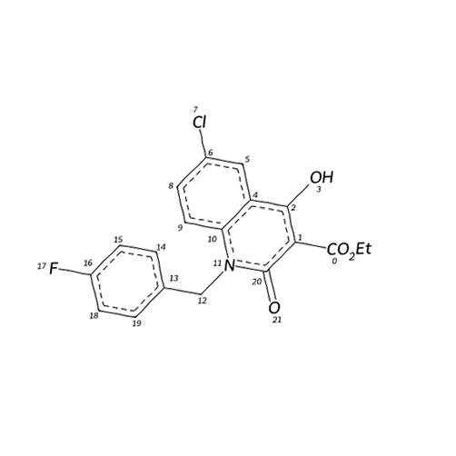 CCOC(=O)c1c(O)c2cc(Cl)ccc2n(Cc2ccc(F)cc2)c1=O